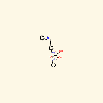 C[C@H](O)[C@@H]1[C@H](CO)ON(Cc2ccc(C#CCN(C)Cc3ccccc3)cc2)[C@@H]1C(=O)NCC1C=CCCC1